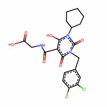 O=C(O)CNC(=O)c1c(O)n(C2CCCCC2)c(=O)n(Cc2ccc(Cl)c(Cl)c2)c1=O